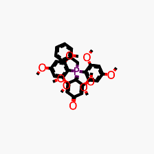 COC1=CC(=O)C=C(OC)C1=P(Cc1ccccc1)(c1c(OC)cc(OC)cc1OC)c1c(OC)cc(OC)cc1OC